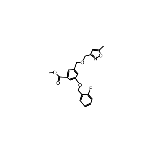 COC(=O)c1cc(COCc2cc(C)on2)cc(OCc2ccccc2F)c1